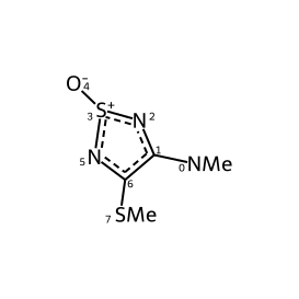 CNc1n[s+]([O-])nc1SC